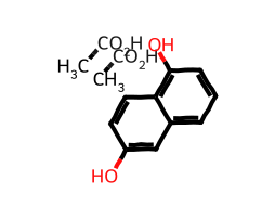 CC(=O)O.CC(=O)O.Oc1ccc2c(O)cccc2c1